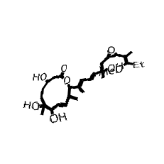 CCC(OC)C(C)C1OC1CC(C)(O)/C=C/C=C(\C)C1OC(=O)CC(O)CCC(C)(O)C(O)/C=C/C1C